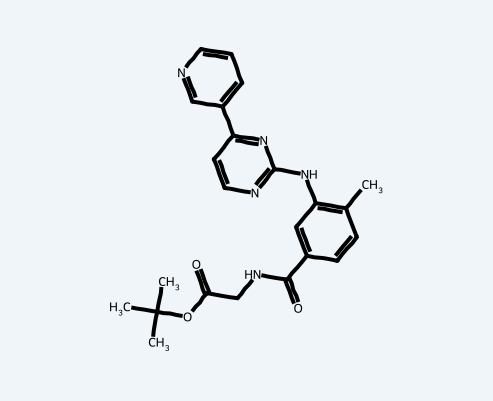 Cc1ccc(C(=O)NCC(=O)OC(C)(C)C)cc1Nc1nccc(-c2cccnc2)n1